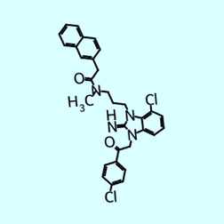 CN(CCCn1c(=N)n(CC(=O)c2ccc(Cl)cc2)c2cccc(Cl)c21)C(=O)Cc1ccc2ccccc2c1